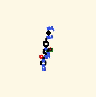 Cl.NC1CC(NCC2CCC(n3ccc(NC(=O)N4CCNCC4)nc3=O)CC2)C1